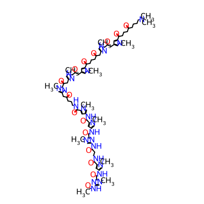 CC(=O)Nc1cn(C)c(C(=O)Nc2cc(C(=O)NCCC(=O)Nc3cn(C)c(C(=O)Nc4cc(C(=O)Nc5cc(C(=O)NCCCC(=O)Cc6cn(C)c(C(=O)Cc7cn(C)c(C(=O)Cc8cc(C(=O)CCCC(=O)Cc9cn(C)c(C(=O)Cc%10cc(C(=O)CCCC(=O)CCCCN(C)C)n(C)c%10)n9)n(C)c8)n7)n6)n(C)c5)n(C)c4)n3)n(C)c2)n1